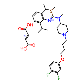 CS/C(=N\c1c(C(C)C)cccc1C(C)C)N(C)C1CCN(CCCCOc2ccc(F)c(F)c2)CC1.O=C(O)/C=C/C(=O)O